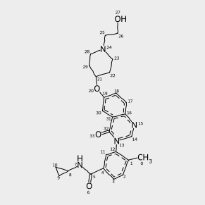 Cc1ccc(C(=O)NC2CC2)cc1-n1cnc2ccc(OC3CCN(CCO)CC3)cc2c1=O